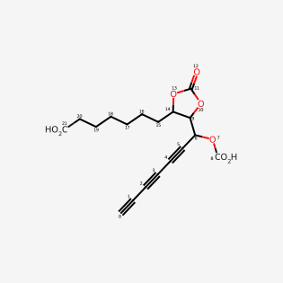 C#CC#CC#CC(OC(=O)O)C1OC(=O)OC1CCCCCCC(=O)O